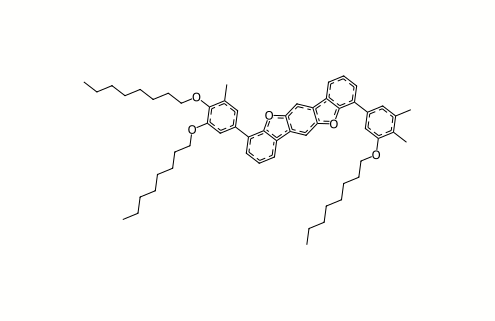 CCCCCCCCOc1cc(-c2cccc3c2oc2cc4c(cc23)oc2c(-c3cc(C)c(OCCCCCCCC)c(OCCCCCCCC)c3)cccc24)cc(C)c1C